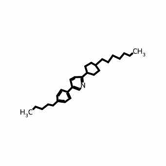 CCCCCCCC1CCC(c2ccc(-c3ccc(CCCCC)cc3)cn2)CC1